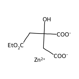 CCOC(=O)CC(O)(CC(=O)[O-])C(=O)[O-].[Zn+2]